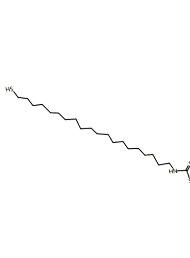 S=C(S)NCCCCCCCCCCCCCCCCCCCCS